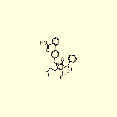 CC(C)CCc1c(C(F)F)n(C(=O)c2ccccc2)c(=O)n1Cc1ccc(-c2ccccc2C(=O)O)cc1